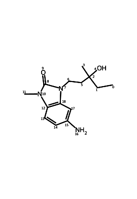 CCC(C)(O)CCn1c(=O)n(C)c2ccc(N)cc21